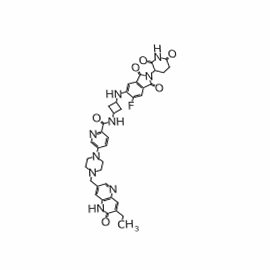 CCc1cc2ncc(CN3CCN(c4ccc(C(=O)NC5CC(Nc6cc7c(cc6F)C(=O)N(C6CCC(=O)NC6=O)C7=O)C5)nc4)CC3)cc2[nH]c1=O